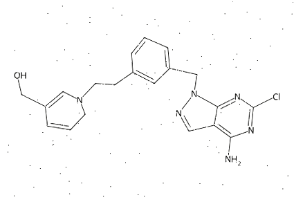 Nc1nc(Cl)nc2c1cnn2Cc1cccc(CCN2C=C(CO)C=CC2)c1